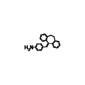 Nc1ccc(C=C2c3ccccc3CCc3ccccc32)cc1